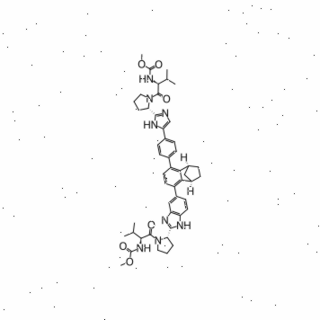 COC(=O)N[C@H](C(=O)N1CCC[C@H]1c1ncc(-c2ccc(-c3ccc(-c4ccc5[nH]c([C@@H]6CCCN6C(=O)[C@@H](NC(=O)OC)C(C)C)nc5c4)c4c3[C@H]3CC[C@@H]4C3)cc2)[nH]1)C(C)C